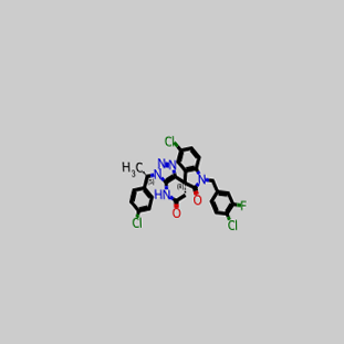 C[C@@H](c1ccc(Cl)cc1)n1nnc2c1NC(=O)C[C@]21C(=O)N(Cc2ccc(Cl)c(F)c2)c2ccc(Cl)cc21